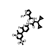 Cc1c(-c2ccc(NC(=O)[C@@H](NC(=O)c3ccnn3C(C)C)C(C3CC3)C3CC3)nc2F)cc(S(C)(=O)=O)c[n+]1[O-]